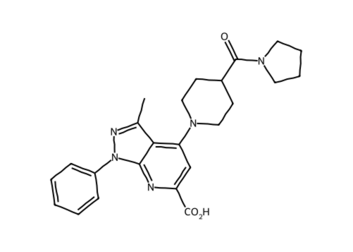 Cc1nn(-c2ccccc2)c2nc(C(=O)O)cc(N3CCC(C(=O)N4CCCC4)CC3)c12